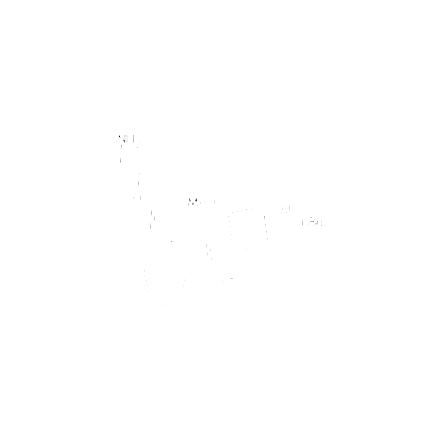 CCCCOc1ccc(/C(=C(\CC)c2ccccc2)c2ccc(OCCN)cc2)c(OC)c1